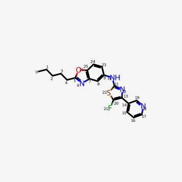 CCCCCc1nc2cc(Nc3nc(-c4cccnc4)c(F)s3)ccc2o1